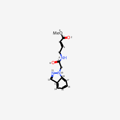 COC(=O)/C=C/CNC(=O)Cn1ncc2ccccc21